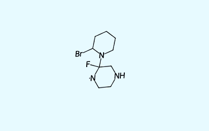 FC1(N2CCCCC2Br)CNCC[N]1